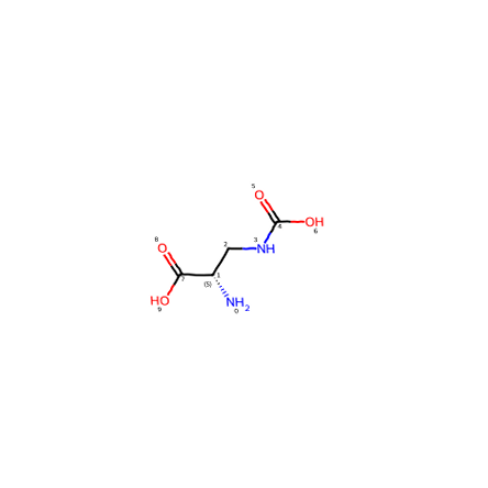 N[C@@H](CNC(=O)O)C(=O)O